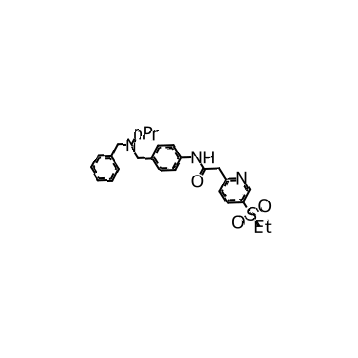 CCCN(Cc1ccccc1)Cc1ccc(NC(=O)Cc2ccc(S(=O)(=O)CC)cn2)cc1